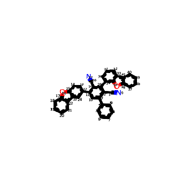 N#Cc1c(-c2ccccc2)cc(-c2ccc3oc4ccccc4c3c2)c(C#N)c1-c1cccc2c1oc1ccccc12